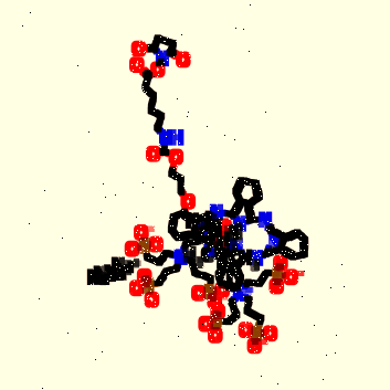 C[Si](C)(CCC[N+](CCCS(=O)(=O)[O-])(CCCS(=O)(=O)[O-])CCCS(=O)(=O)[O-])O[Si]1(O[Si](C)(C)CCC[N+](CCCS(=O)(=O)[O-])(CCCS(=O)(=O)[O-])CCCS(=O)(=O)[O-])n2c3c4ccccc4c2N=C2N=C(N=c4c5ccccc5c(n41)=NC1=NC(=N3)c3ccccc31)c1cccc(OCCCOC(=O)NCCCCCC(=O)ON3C(=O)CCC3=O)c12.[Na+].[Na+].[Na+].[Na+]